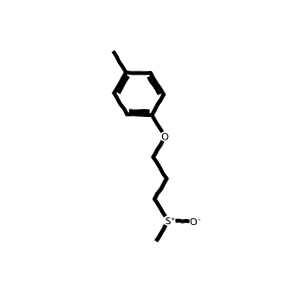 Cc1ccc(OCCC[S+](C)[O-])cc1